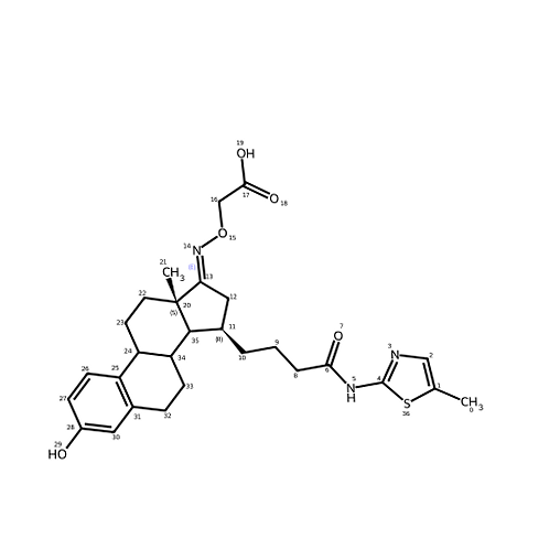 Cc1cnc(NC(=O)CCC[C@@H]2C/C(=N\OCC(=O)O)[C@@]3(C)CCC4c5ccc(O)cc5CCC4C23)s1